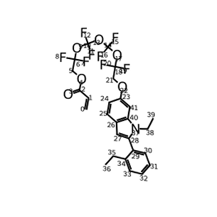 C=CC(=O)OCC(F)(F)OC(F)(F)OC(F)(F)OC(F)(F)COc1ccc2cc(-c3ccccc3CC)n(CC)c2c1